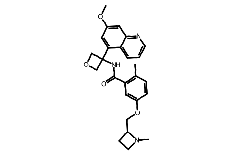 COc1cc(C2(NC(=O)c3cc(OCC4CCN4C)ccc3C)COC2)c2cccnc2c1